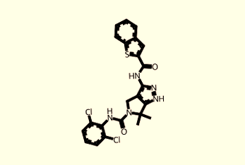 CC1(C)c2[nH]nc(NC(=O)c3cc4ccccc4s3)c2CN1C(=O)Nc1c(Cl)cccc1Cl